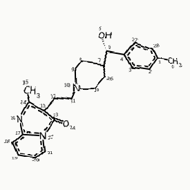 Cc1ccc([C@@H](O)C2CCN(CCc3c(C)nc4ccccn4c3=O)CC2)cc1